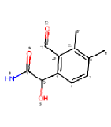 Cc1ccc(C(O)C([NH])=O)c(C=O)c1C